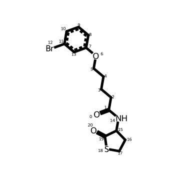 O=C(CCCCOc1cccc(Br)c1)NC1CCSC1=O